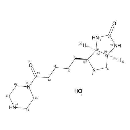 Cl.O=C1N[C@H]2[C@H](CS[C@H]2CCCCC(=O)N2CCNCC2)N1